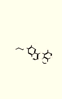 COc1cc2c(Nc3c(Cl)cnc4c3OCO4)c(C#N)cnc2cc1OCCCl